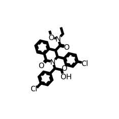 CCN(OC)C(=O)C1c2ccccc2C(=O)N(C(C(=O)O)c2ccc(Cl)cc2)C1c1ccc(Cl)cc1